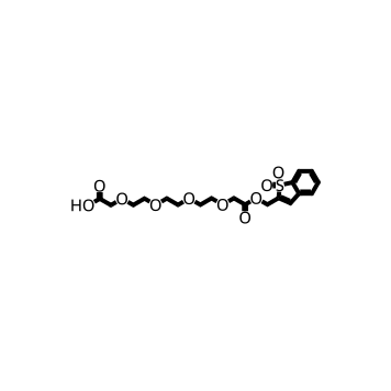 O=C(O)COCCOCCOCCOCC(=O)OCC1=Cc2ccccc2S1(=O)=O